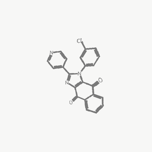 O=C1c2ccccc2C(=O)c2c1nc(-c1ccncc1)n2-c1cccc(Cl)c1